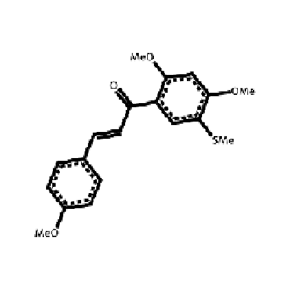 COc1ccc(C=CC(=O)c2cc(SC)c(OC)cc2OC)cc1